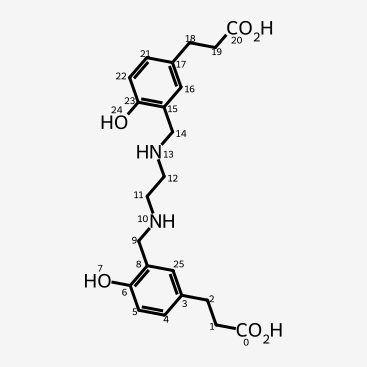 O=C(O)CCc1ccc(O)c(CNCCNCc2cc(CCC(=O)O)ccc2O)c1